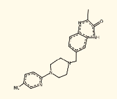 Cc1nc2ccc(CN3CCN(c4ccc(C#N)cn4)CC3)cc2[nH]c1=O